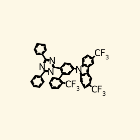 FC(F)(F)c1ccc2c(c1)c1cc(C(F)(F)F)ccc1n2-c1ccc(-c2nc(-c3ccccc3)nc(-c3ccccc3)n2)c(-c2ccccc2C(F)(F)F)c1